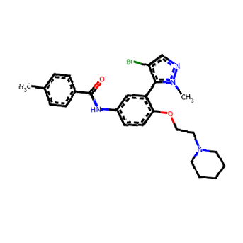 Cc1ccc(C(=O)Nc2ccc(OCCN3CCCCC3)c(-c3c(Br)cnn3C)c2)cc1